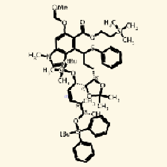 COCOc1cc2c(ncn2C)c(C(CC[C@@H]2OC(C)(C)O[C@@H]2C(/C=C\[C@@H](C)[C@H](C)O[Si](c2ccccc2)(c2ccccc2)C(C)(C)C)O[Si](C)(C)C(C)(C)C)Sc2ccccc2)c1C(=O)OCC[Si](C)(C)C